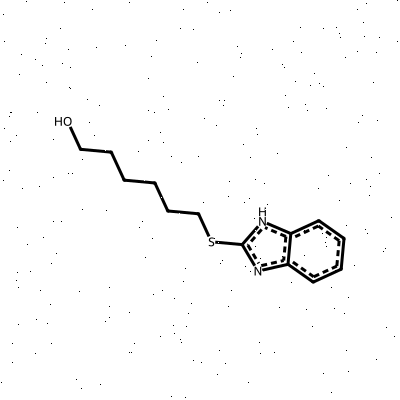 OCCCCCCSc1nc2ccccc2[nH]1